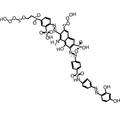 Nc1c(/N=N/c2ccc(S(=O)(=O)CCOSOOO)cc2S(=O)(=O)O)c(SOOO)cc2cc(S(=O)(=O)O)c(/N=N/c3ccc(S(=O)(=O)Nc4ccc(/N=N/c5ccc(O)cc5O)cc4)cc3)c(O)c12